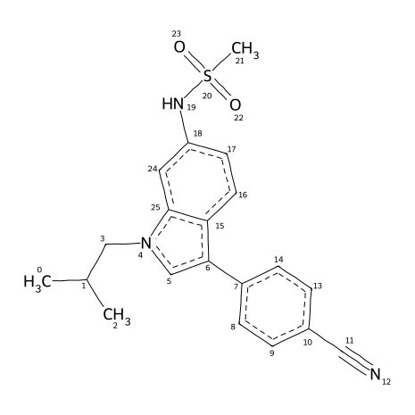 CC(C)Cn1cc(-c2ccc(C#N)cc2)c2ccc(NS(C)(=O)=O)cc21